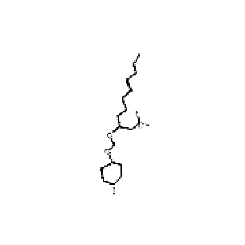 CCCCCCCCC(C[C@@H](C)F)O[C]O[C@H]1CC[C@H](C)CC1